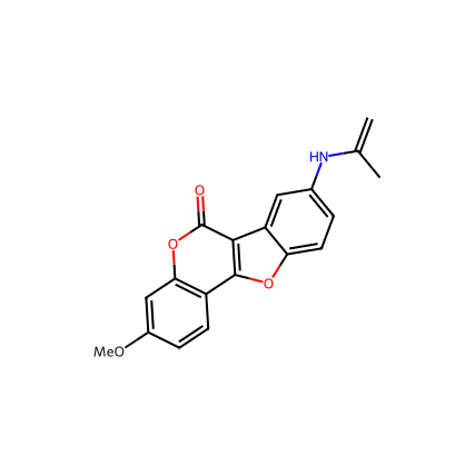 C=C(C)Nc1ccc2oc3c4ccc(OC)cc4oc(=O)c3c2c1